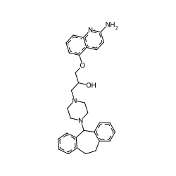 Nc1ccc2c(OCC(O)CN3CCN(C4c5ccccc5CCc5ccccc54)CC3)cccc2n1